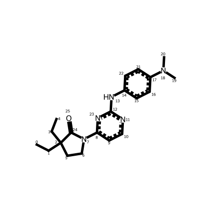 CCC1(CC)CCN(c2ccnc(Nc3ccc(N(C)C)cc3)n2)C1=O